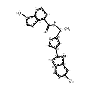 C[C@@H](NC(=O)c1ncnc2c1cnn2C)c1cc(-c2nc3ccc(C(F)(F)F)cc3[nH]2)no1